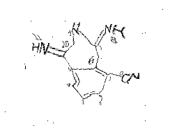 N#Cc1cccc2c1C(=N)NC2=N